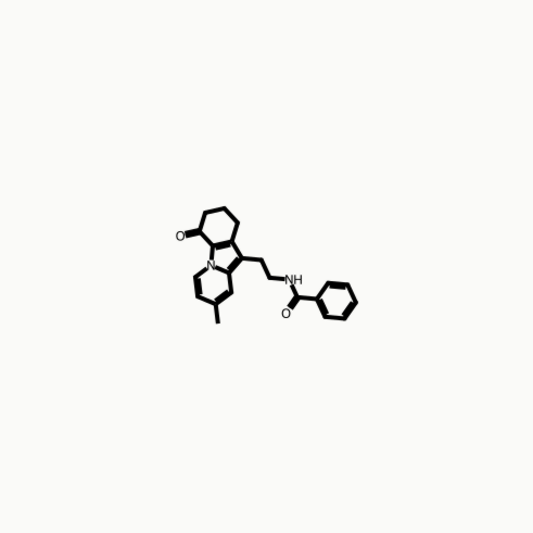 Cc1ccn2c3c(c(CCNC(=O)c4ccccc4)c2c1)CCCC3=O